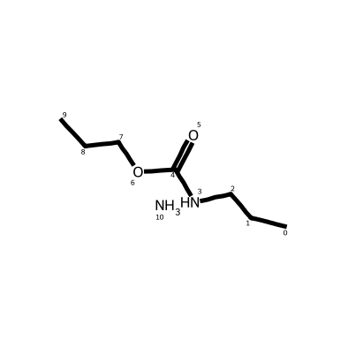 CCCNC(=O)OCCC.N